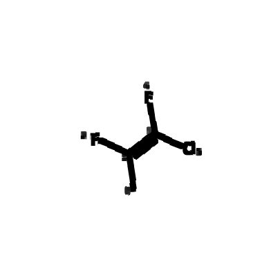 CC(F)=C(F)Cl